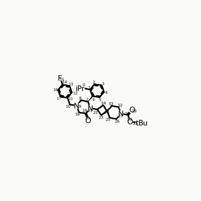 CC(C)c1ccccc1[C@@H]1CN(Cc2ccc(F)cc2)CC(=O)N1C1CC2(CCN(C(=O)OC(C)(C)C)CC2)C1